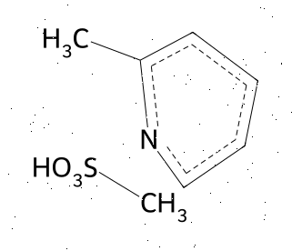 CS(=O)(=O)O.Cc1ccccn1